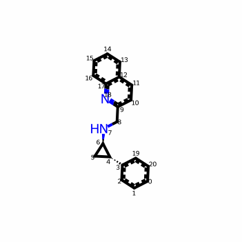 c1ccc([C@@H]2C[C@H]2NCc2ccc3ccccc3n2)cc1